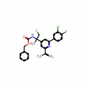 C=C(c1cc(C(C)(CF)NC(=O)OCc2ccccc2)cc(-c2ccc(F)c(Cl)c2)n1)C(F)(F)F